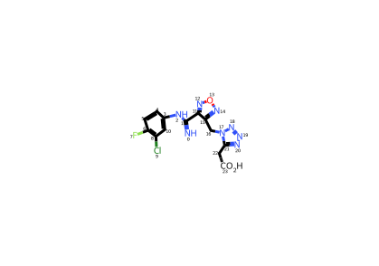 N=C(Nc1ccc(F)c(Cl)c1)c1nonc1Cn1nnnc1CC(=O)O